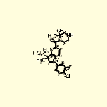 CC1(C)CN(c2ccc(Cl)c(F)c2)c2ccc(C(=O)N3CCNCC3(C)C)nc21.Cl